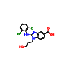 O=C(O)c1ccc2c(c1)nc(Nc1c(Cl)cccc1Cl)n2CCCO